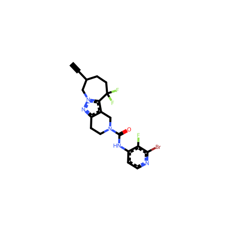 C#CC1CCC(F)(F)c2c3c(nn2C1)CCN(C(=O)Nc1ccnc(Br)c1F)C3